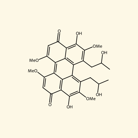 COc1c(O)c2c(=O)cc(OC)c3c4c(OC)cc(=O)c5c(O)c(OC)c(CC(C)O)c(c(c1CC(C)O)c23)c54